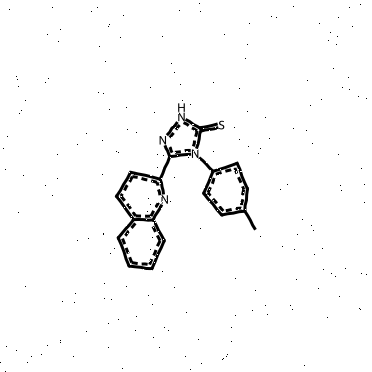 Cc1ccc(-n2c(-c3ccc4ccccc4n3)n[nH]c2=S)cc1